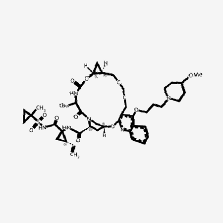 C=C[C@@H]1CC1(NC(=O)[C@@H]1C[C@@H]2CN1C(=O)C(C(C)(C)C)NC(=O)O[C@@H]1C[C@H]1CCCCCc1c(nc3ccccc3c1OCCCN1CCC(OC)CC1)O2)C(=O)NS(=O)(=O)C1(C)CC1